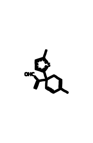 C=C(C=O)C1(c2ccc(C)s2)C=CC(C)=CC1